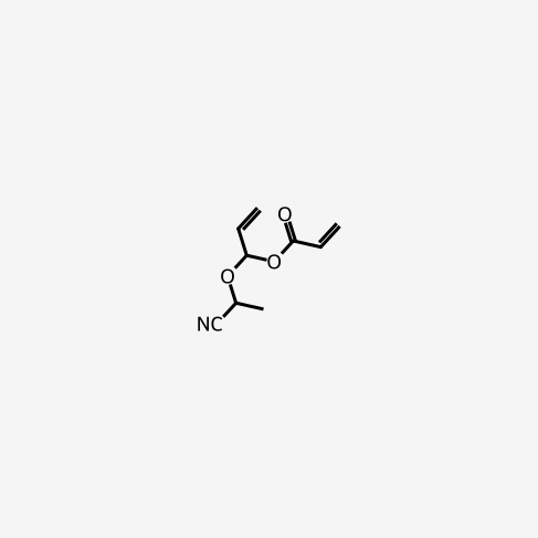 C=CC(=O)OC(C=C)OC(C)C#N